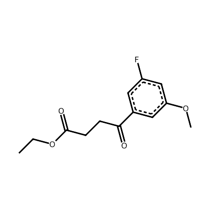 CCOC(=O)CCC(=O)c1cc(F)cc(OC)c1